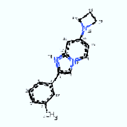 Cc1cccc(-c2cn3ccc(N4CCC4)cc3n2)c1